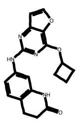 O=C1CCc2ccc(Nc3nc(OC4CCC4)c4occc4n3)cc2N1